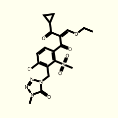 CCO/C=C(\C(=O)c1ccc(Cl)c(Cn2nnn(C)c2=O)c1S(C)(=O)=O)C(=O)C1CC1